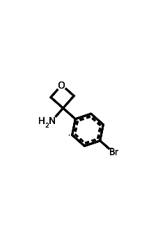 NC1(c2[c]cc(Br)cc2)COC1